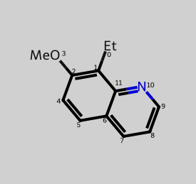 CCc1c(OC)ccc2cccnc12